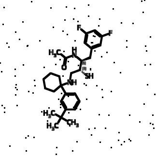 CC(=O)N[C@@H](Cc1cc(F)cc(F)c1)[C@H](S)CNC1(c2cccc(C(C)(C)C)c2)CCCCC1